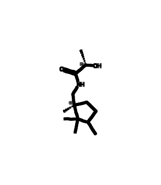 CC1CC[C@](C)(CNC(=O)[C@H](C)O)C1(C)C